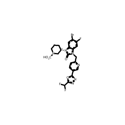 O=C(O)N1CCC[C@H](n2c(=O)n(Cc3ccc(-c4nnc(C(F)F)o4)cn3)c3cc(F)c(Br)cc32)C1